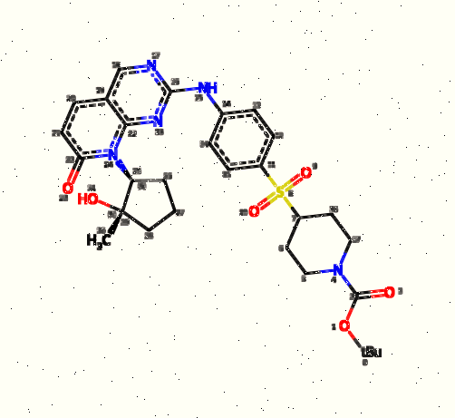 CC(C)(C)OC(=O)N1CCC(S(=O)(=O)c2ccc(Nc3ncc4ccc(=O)n([C@H]5CCC[C@]5(C)O)c4n3)cc2)CC1